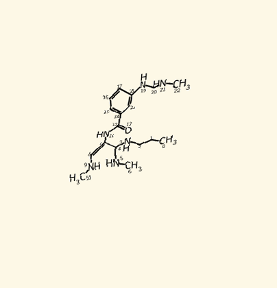 CCCNC(NC)/C(=C\NC)NC(=O)c1cccc(NCNC)c1